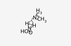 CCN(CC)CC1C[C@@H]2CN(C(=O)O)C[C@@H]2C1